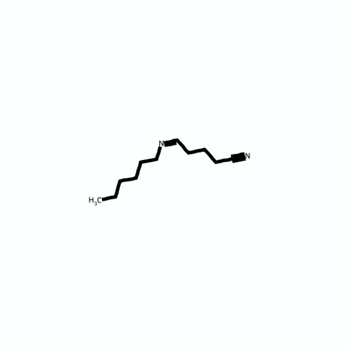 CCCCCC/N=C\CCCC#N